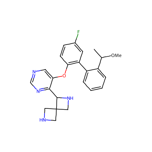 COC(C)c1ccccc1-c1cc(F)ccc1Oc1cncnc1C1NCC12CNC2